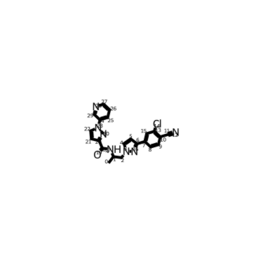 CC(Cn1ccc(-c2ccc(C#N)c(Cl)c2)n1)NC(=O)c1ccn(-c2cccnc2)n1